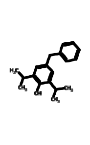 CC(C)c1cc(Cc2ccccc2)cc(C(C)C)c1O